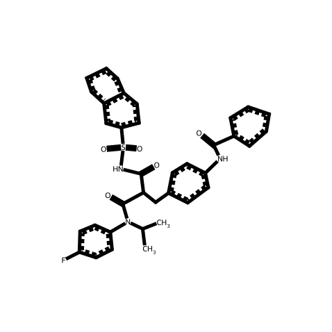 CC(C)N(C(=O)C(Cc1ccc(NC(=O)c2ccccc2)cc1)C(=O)NS(=O)(=O)c1ccc2ccccc2c1)c1ccc(F)cc1